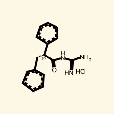 Cl.N=C(N)NC(=O)[C@H](Cc1ccccc1)c1ccccc1